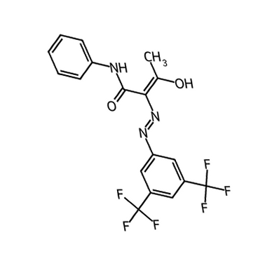 C/C(O)=C(/N=Nc1cc(C(F)(F)F)cc(C(F)(F)F)c1)C(=O)Nc1ccccc1